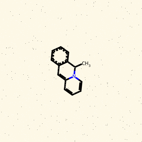 CC1c2ccccc2C=C2C=CC=CN21